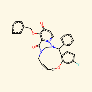 O=C1c2c(OCc3ccccc3)c(=O)ccn2N2CN1C/C=C\COc1cc(F)ccc1C2c1ccccc1